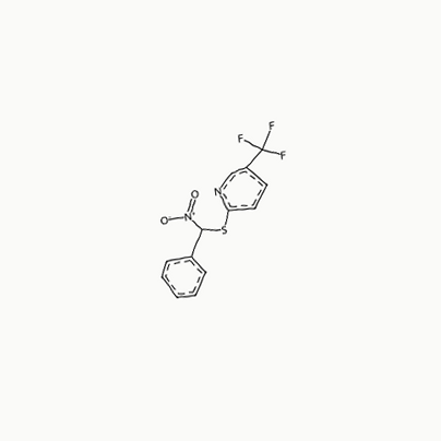 O=[N+]([O-])C(Sc1ccc(C(F)(F)F)cn1)c1ccccc1